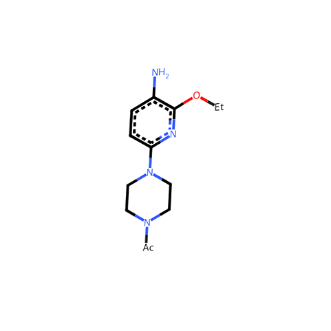 CCOc1nc(N2CCN(C(C)=O)CC2)ccc1N